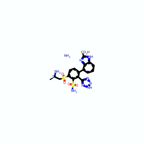 C[C@@H](N)CS(=O)(=O)c1ccc(-c2cccc3[nH]c(C(=O)O)nc23)c(-c2nn[nH]n2)c1S(N)(=O)=O.N